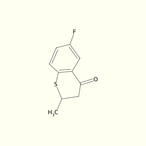 CC1CC(=O)c2cc(F)ccc2S1